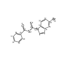 O=C(SC(=S)n1ccc2cc(Br)ccc21)c1ccccc1